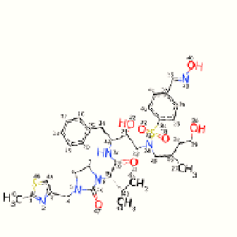 Cc1nc(CN2CCN([C@H](C(=O)N[C@@H](Cc3ccccc3)[C@H](O)CN(CC(C)CCO)S(=O)(=O)c3ccc(/C=N/O)cc3)C(C)C)C2=O)cs1